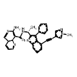 C[C@@H](NC(=O)C1=C(N)N=CC2C=CC=NC12)c1[nH]c2cccc(C#Cc3cnn(C)c3)c2c1-c1ccccc1